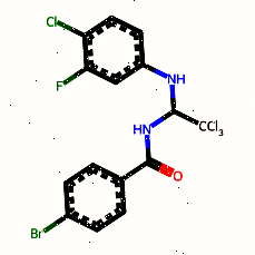 O=C(NC(Nc1ccc(Cl)c(F)c1)C(Cl)(Cl)Cl)c1ccc(Br)cc1